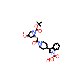 CO[C@@H]1C[C@@H](CC(=O)N2CCC(c3cn(C(=O)O)c4ccccc34)CC2)N(C(=O)OC(C)(C)C)C1